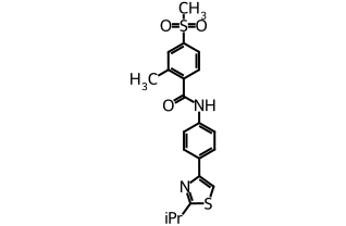 Cc1cc(S(C)(=O)=O)ccc1C(=O)Nc1ccc(-c2csc(C(C)C)n2)cc1